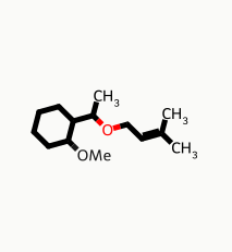 COC1CCCCC1C(C)OCC=C(C)C